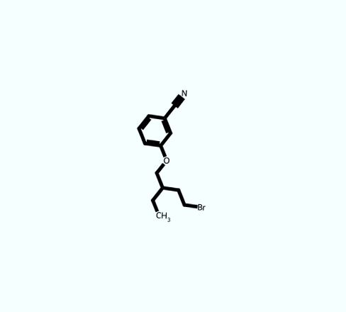 CCC(CCBr)COc1cccc(C#N)c1